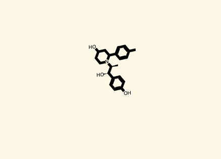 Cc1ccc(C2CC(O)CCN2[C@@H](C)[C@@H](O)c2ccc(O)cc2)cc1